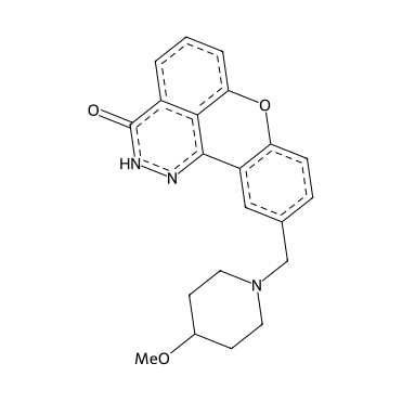 COC1CCN(Cc2ccc3c(c2)-c2n[nH]c(=O)c4cccc(c24)O3)CC1